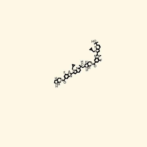 Cn1c(-c2cc3ccc(C(C)(C)O)nc3n2CC2CC2)nc2cc(C(=O)N3CC[C@H]4CC(CC(C)(O)c5ccc6cc(-c7nc8cc(C(=O)N9CC[C@@H]%10CCN[C@@H]%10C9)cc(F)c8n7C)n(CC7CC7)c6n5)N[C@H]4C3)cc(F)c21